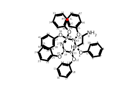 NCC[PH]1(Oc2ccccc2)N(Oc2ccccc2)P(Oc2ccccc2)N=P(Oc2ccccc2)(Oc2ccccc2)N1Oc1ccccc1